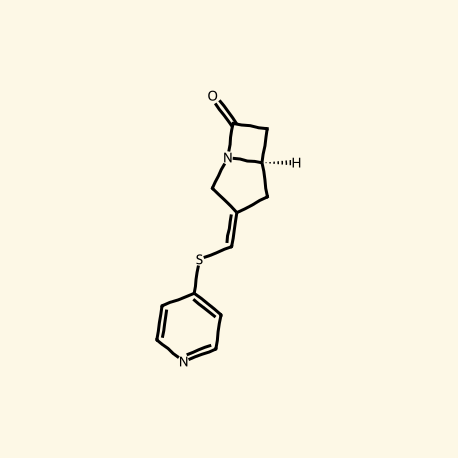 O=C1C[C@H]2CC(=CSc3ccncc3)CN12